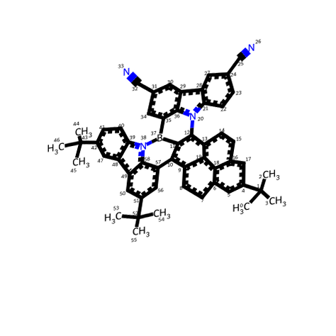 CC(C)(C)c1cc2ccc3c4c5c(c6ccc(c1)c2c36)-n1c2ccc(C#N)cc2c2cc(C#N)cc(c21)B5n1c2ccc(C(C)(C)C)cc2c2cc(C(C)(C)C)cc-4c21